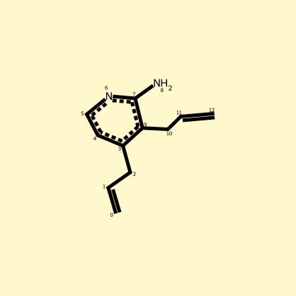 C=CCc1ccnc(N)c1CC=C